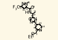 CCOCc1cc(-c2noc(C(C)NC(=O)c3cc(C(F)(F)F)nn3C)n2)ccn1